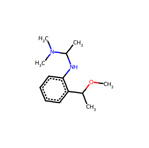 COC(C)c1[c]cccc1NC(C)N(C)C